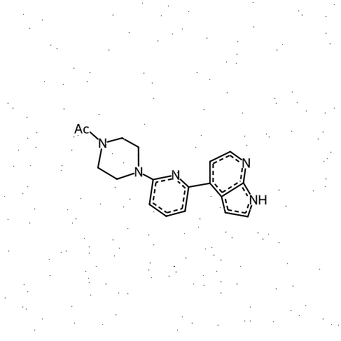 CC(=O)N1CCN(c2cccc(-c3ccnc4[nH]ccc34)n2)CC1